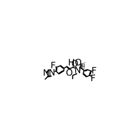 Cc1cn(-c2ccc(C=C3OC(C)CN([C@H](c4ccc(F)c(F)c4)[C@@H](C)O)C3=O)cc2F)cn1